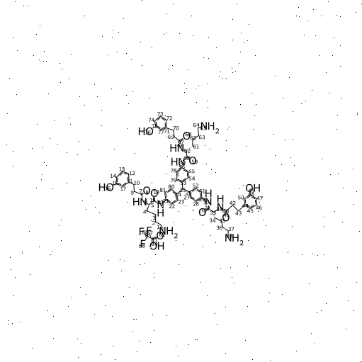 NCCCC[C@@H](NC(=O)CCc1cccc(O)c1)C(=O)Nc1ccc(C(c2ccc(NC(=O)[C@@H](CCCCN)NC(=O)CCc3cccc(O)c3)cc2)c2ccc(NC(=O)[C@@H](CCCCN)NC(=O)CCc3cccc(O)c3)cc2)cc1.O=C(O)C(F)(F)F